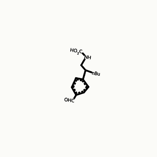 CCCCC(CNC(=O)O)c1ccc(C=O)cc1